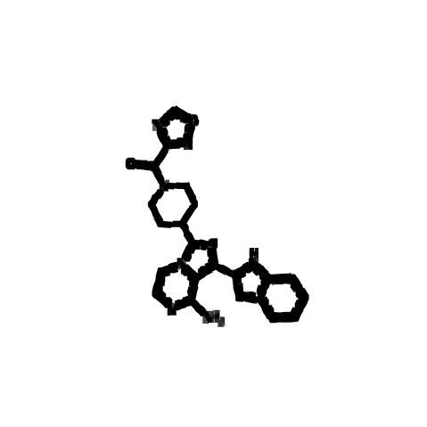 Nc1nccn2c(C3CCN(C(=O)c4ncon4)CC3)nc(-c3cc4ccccc4[nH]3)c12